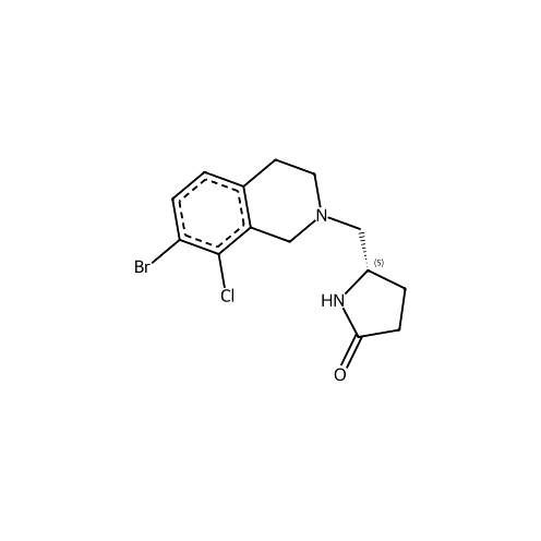 O=C1CC[C@@H](CN2CCc3ccc(Br)c(Cl)c3C2)N1